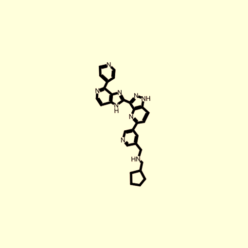 c1cc(-c2nccc3[nH]c(-c4n[nH]c5ccc(-c6cncc(CNCC7CCCC7)c6)nc45)nc23)ccn1